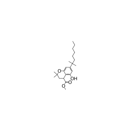 CCCCCCC(C)(C)c1cc(O)c2c(c1)OC(C)(C)CC2C(=O)OC